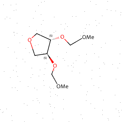 COCO[C@H]1COC[C@@H]1OCOC